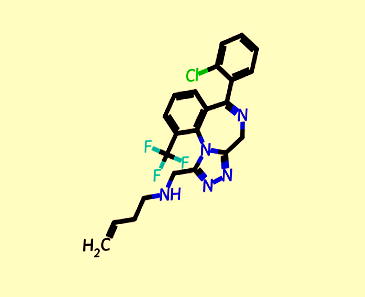 C=CCCNCc1nnc2n1-c1c(cccc1C(F)(F)F)C(c1ccccc1Cl)=NC2